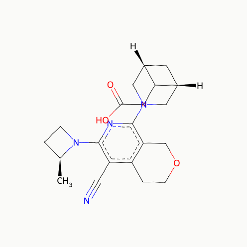 C[C@H]1CCN1c1nc(N2C[C@H]3C[C@@H](C2)C3CC(=O)O)c2c(c1C#N)CCOC2